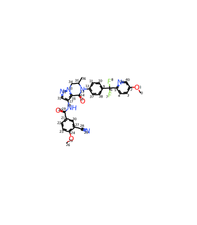 COc1ccc(C(F)(F)c2ccc(N3C(=O)c4c(NC(=O)c5ccc(OC)c(C#N)c5)cnn4CC3C)cc2)nc1